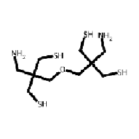 NCC(CS)(CS)COCC(CN)(CS)CS